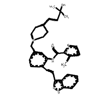 Cc1ccsc1C(=O)Nc1cc(CN2CCC(CCC(C)(C)O)CC2)ccc1/C=C/c1n[nH]c2ccccc12